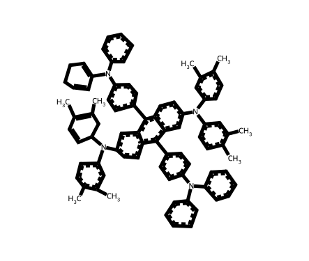 CC1=C(C)CC(N(c2ccc(C)c(C)c2)c2ccc3c(-c4ccc(N(c5ccccc5)c5ccccc5)cc4)c4cc(N(c5ccc(C)c(C)c5)c5ccc(C)c(C)c5)ccc4c(-c4ccc(N(C5=CCCC=C5)c5ccccc5)cc4)c3c2)C=C1